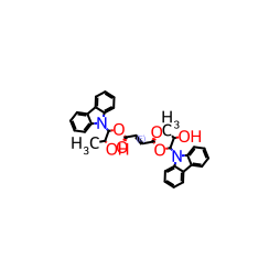 CC(O)C(OC(=O)/C=C/C(=O)OC(C(C)O)n1c2ccccc2c2ccccc21)n1c2ccccc2c2ccccc21